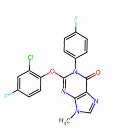 Cn1cnc2c(=O)n(-c3ccc(F)cc3)c(Oc3ccc(F)cc3Cl)nc21